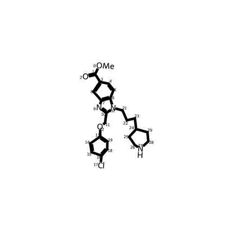 COC(=O)c1ccc2c(c1)nc(COc1ccc(Cl)cc1)n2CCCC1CCNCC1